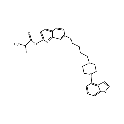 CC(I)C(=O)Oc1ccc2ccc(OCCCCN3CCN(c4cccc5sccc45)CC3)cc2n1